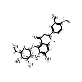 COc1ccc([C@@H]2CC(=O)c3c(O[C@@H]4O[C@H](CO)[C@@H](O)[C@H](O)[C@H]4O)cc(O)cc3O2)cc1O